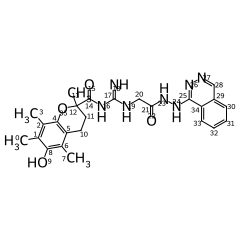 Cc1c(C)c2c(c(C)c1O)CCC(C)(C(=O)NC(=N)NCC(=O)NNc1nncc3ccccc13)O2